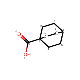 O=C(O)C12CCC(CC1)CC2